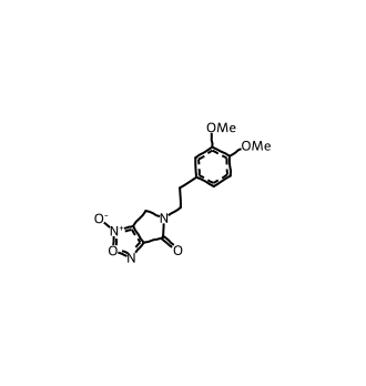 COc1ccc(CCN2Cc3c(no[n+]3[O-])C2=O)cc1OC